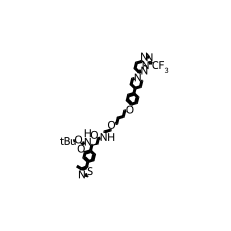 Cc1ncsc1-c1ccc([C@H](CC(=O)NCCOCCCCOc2ccc(C3CCN(C4=Nn5c(nnc5C(F)(F)F)CC4)CC3)cc2)NC(=O)OC(C)(C)C)cc1